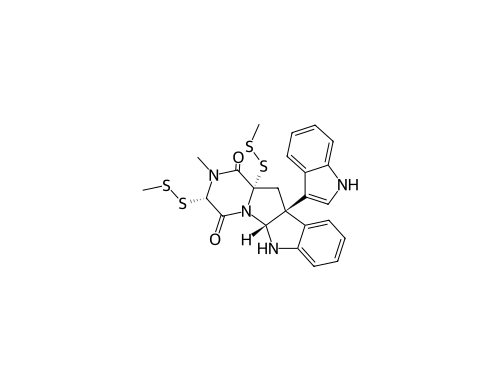 CSS[C@H]1C(=O)N2[C@H]3Nc4ccccc4[C@@]3(c3c[nH]c4ccccc34)C[C@]2(SSC)C(=O)N1C